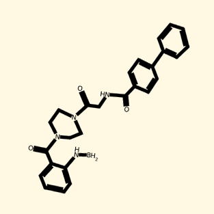 BNc1ccccc1C(=O)N1CCN(C(=O)CNC(=O)c2ccc(-c3ccccc3)cc2)CC1